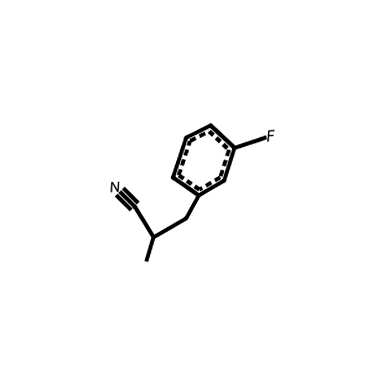 CC(C#N)Cc1cccc(F)c1